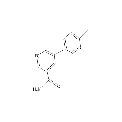 Cc1ccc(-c2cncc(C(N)=O)c2)cc1